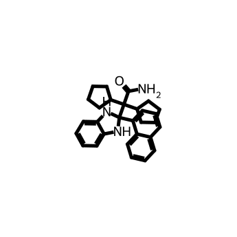 NC(=O)C(C1CCCC1)(C1CCCC1)C1(c2cccc3ccccc23)Nc2ccccc2N1